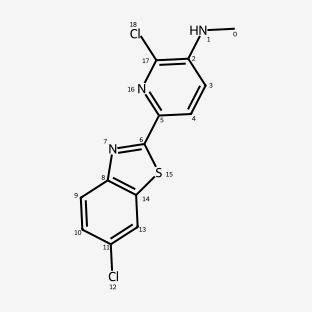 CNc1ccc(-c2nc3ccc(Cl)cc3s2)nc1Cl